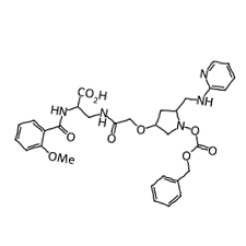 COc1ccccc1C(=O)NC(CNC(=O)COC1CC(CNc2ccccn2)N(OC(=O)OCc2ccccc2)C1)C(=O)O